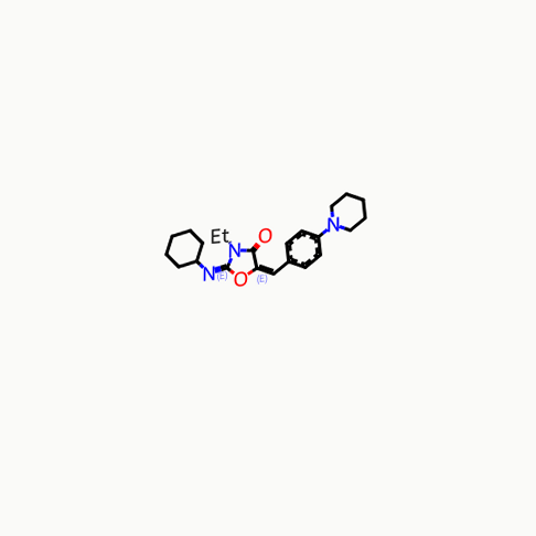 CCN1C(=O)/C(=C\c2ccc(N3CCCCC3)cc2)O/C1=N/C1CCCCC1